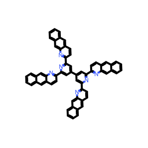 c1ccc2cc3nc(-c4cc(-c5cc(-c6ccc7cc8ccccc8cc7n6)nc(-c6ccc7cc8ccccc8cc7n6)c5)cc(-c5ccc6cc7ccccc7cc6n5)n4)ccc3cc2c1